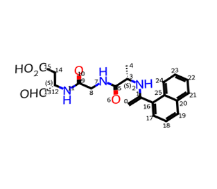 C=C(N[C@@H](C)C(=O)NCC(=O)N[C@H](C=O)CC(=O)O)c1cccc2ccccc12